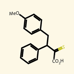 COc1ccc(CC(C(=S)C(=O)O)c2ccccc2)cc1